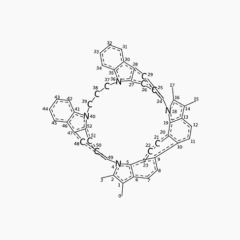 Cc1c(C)n2c3c1ccc1c4ccc5c(C)c(C)n(c5c4ccc13)-c1ccc3c(c1)c1ccccc1n3CCCn1c3ccccc3c3cc-2ccc31